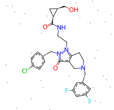 O=C(NCCn1c2c(c(=O)n1Cc1ccc(Cl)cc1)CN(Cc1cc(F)cc(F)c1)CC2)[C@H]1C[C@H]1CO